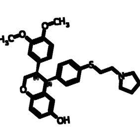 COc1ccc([C@@H]2COc3ccc(O)cc3[C@@H]2c2ccc(SCCN3CCCC3)cc2)cc1OC